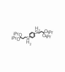 CC(C)OC(CC[SiH2]c1ccc([SiH2]CCC(OC(C)C)OC(C)C)cc1)OC(C)C